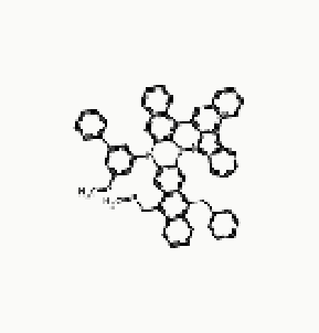 C=PCc1c2ccccc2c(Cc2ccccc2)c2cc3c(cc12)N(c1cc(P=C)cc(-c2ccccc2)c1)c1cc2ccccc2c2c1B3n1c3ccccc3c3c4ccccc4cc-2c31